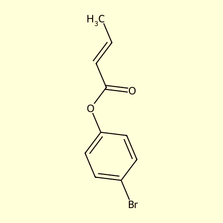 CC=CC(=O)Oc1ccc(Br)cc1